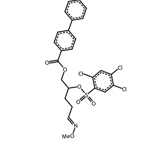 CON=CCCC(COC(=O)c1ccc(-c2ccccc2)cc1)OS(=O)(=O)c1cc(Cl)c(Cl)cc1Cl